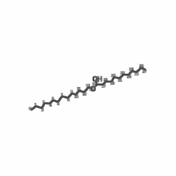 CCCCCCCCCCCCCCOC(O)CCCCCCCCCCC